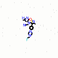 Cc1nsc(N(CC#N)[C@@H](CC(C)C)C(N)=O)c1-c1ccc(N2CCN(CCF)CC2)cc1